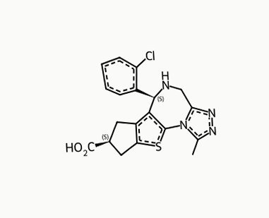 Cc1nnc2n1-c1sc3c(c1[C@@H](c1ccccc1Cl)NC2)C[C@H](C(=O)O)C3